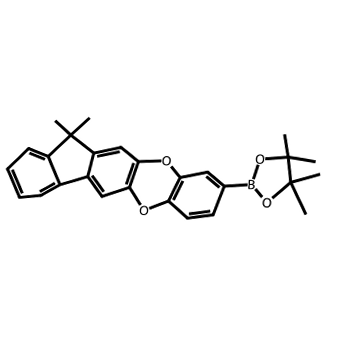 CC1(C)c2ccccc2-c2cc3c(cc21)Oc1cc(B2OC(C)(C)C(C)(C)O2)ccc1O3